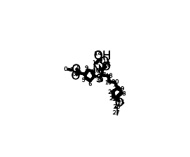 CC1OC(c2ccc3c(c2)N(CC(=O)O)C(=O)C(CCCc2ccc(OCI)cc2)S3)O1